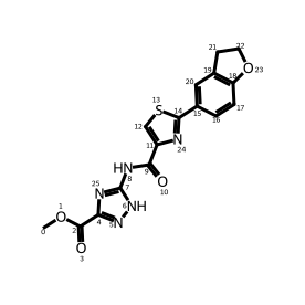 COC(=O)c1n[nH]c(NC(=O)c2csc(-c3ccc4c(c3)CCO4)n2)n1